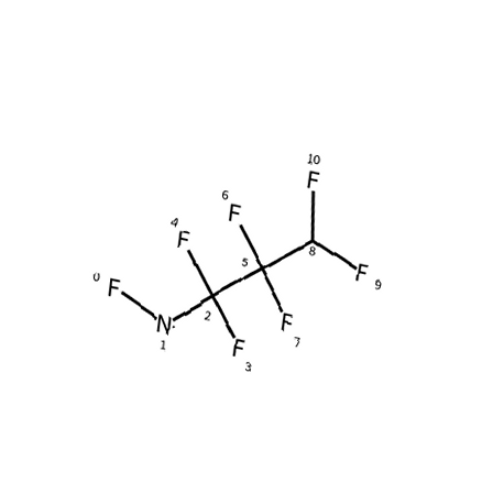 F[N]C(F)(F)C(F)(F)C(F)F